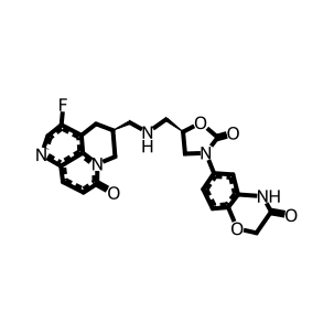 O=C1COc2ccc(N3C[C@@H](CNC[C@@H]4Cc5c(F)cnc6ccc(=O)n(c56)C4)OC3=O)cc2N1